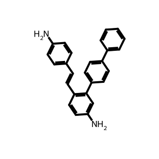 Nc1ccc(C=Cc2ccc(N)cc2-c2ccc(-c3ccccc3)cc2)cc1